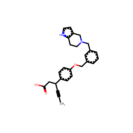 CC#CC(CC(=O)O)c1ccc(OCc2cccc(CN3CCc4[nH]ccc4C3)c2)cc1